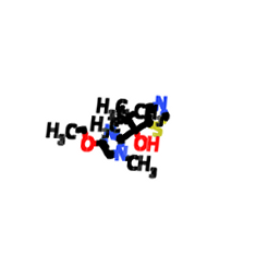 CCOc1cn(C)c(C(O)(c2cncs2)[Si](C)(C)C)n1